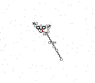 CC(C)(C)C(=O)Oc1ccc2c(c1)Oc1cc(OC(=O)C(C)(C)C)ccc1C21OCCc2cc(C(=O)NCCCCCC(=O)NCCOCCOCCCCCCCl)ccc21